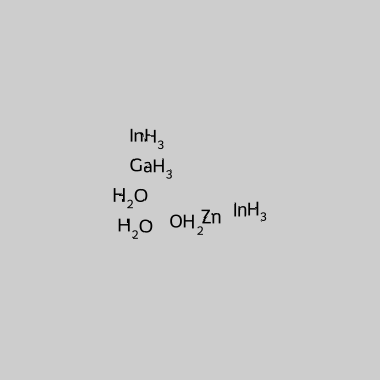 O.O.O.[GaH3].[InH3].[InH3].[Zn]